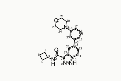 O=C(NC1CCC1)c1n[nH]c2ccc(-c3cncc(N4CCOCC4)c3)cc12